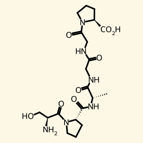 C[C@H](NC(=O)[C@@H]1CCCN1C(=O)[C@@H](N)CO)C(=O)NCC(=O)NCC(=O)N1CCC[C@H]1C(=O)O